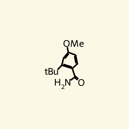 COc1ccc(C(N)=O)c(C(C)(C)C)c1